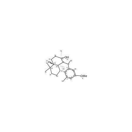 COc1cc(C)cc(C(C)C2[C@](C)(O)CC[C@H]3C(C)(C)CCC[C@]23C)c1